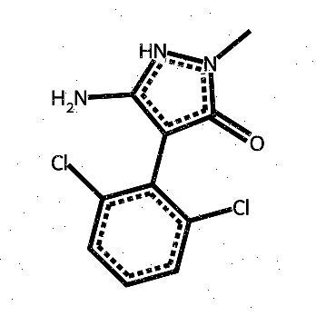 Cn1[nH]c(N)c(-c2c(Cl)cccc2Cl)c1=O